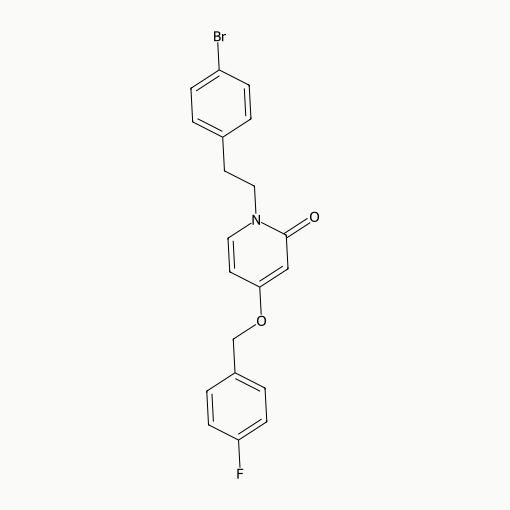 O=c1cc(OCc2ccc(F)cc2)ccn1CCc1ccc(Br)cc1